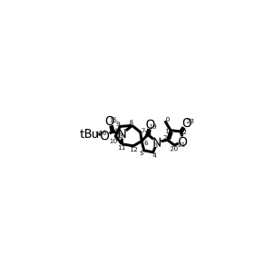 CC1=C(N2CCC3(CC4CCC(C3)N4C(=O)OC(C)(C)C)C2=O)COC1=O